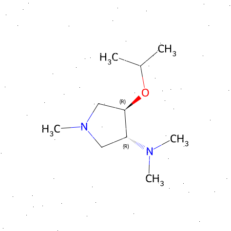 CC(C)O[C@@H]1CN(C)C[C@H]1N(C)C